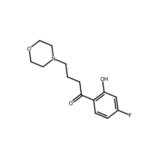 O=C(CCCN1CCOCC1)c1ccc(F)cc1O